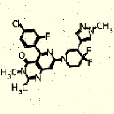 Cc1nc2cc(N3CCC(F)(F)[C@H](c4cnn(C)c4)C3)nc(-c3ccc(Cl)cc3F)c2c(=O)n1C